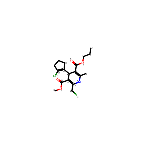 CCCOC(=O)C1=C(C)NC(CF)=C(C(=O)OC)C1C1=C(Cl)CCC1